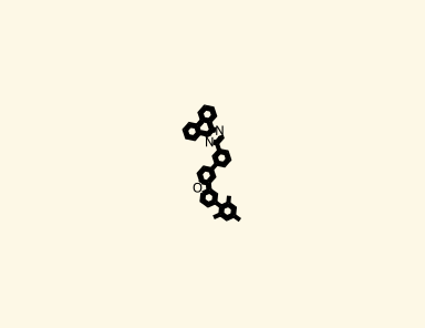 Cc1cc(C)c(-c2ccc3oc4ccc(-c5cccc(-c6cnc7c8ccccc8c8ccccc8c7n6)c5)cc4c3c2)c(C)c1